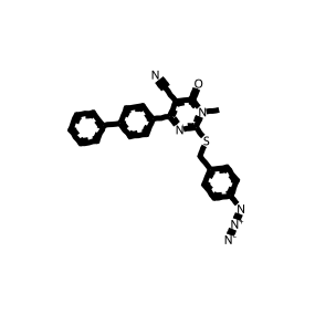 Cn1c(SCc2ccc(N=[N+]=[N-])cc2)nc(-c2ccc(-c3ccccc3)cc2)c(C#N)c1=O